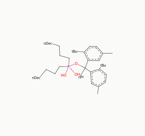 CCCCCCCCCCCCCP(O)(O)(CCCCCCCCCCCCC)OC(CCC)(c1cc(C)ccc1C(C)(C)C)c1cc(C)ccc1C(C)(C)C